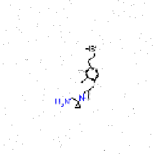 CBCCc1ccc(CC2CN(C3(CN)CC3)C2)c(C)c1C